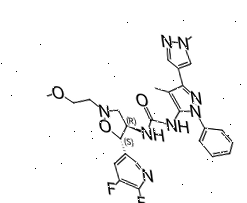 COCCN1C[C@@H](NC(=O)Nc2c(C)c(-c3cnn(C)c3)nn2-c2ccccc2)[C@H](c2cnc(F)c(F)c2)O1